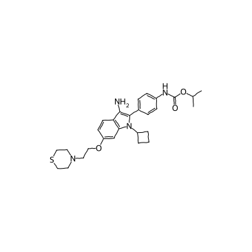 CC(C)OC(=O)Nc1ccc(-c2c(N)c3ccc(OCCN4CCSCC4)cc3n2C2CCC2)cc1